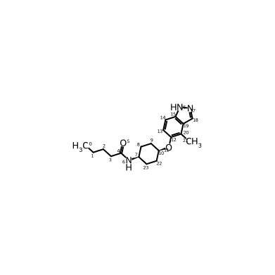 CCCCC(=O)N[C@H]1CC[C@@H](Oc2ccc3[nH]ncc3c2C)CC1